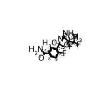 C[C@@]1(c2cc(C(N)=O)ccc2F)CO[C@@](C)(C(F)(F)F)C(N)=N1